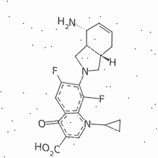 N[C@@H]1C=CC[C@@H]2CN(c3c(F)cc4c(=O)c(C(=O)O)cn(C5CC5)c4c3F)CC21